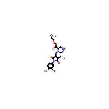 COCCOCC(=O)C1CNCCN1CC1=C(C)C(=O)N(c2ccc(C#N)c(C(F)(F)F)c2)C1=O